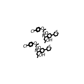 CCCC(=NOCC(C)Oc1ccc(Cl)cc1)C1=C(O)CC(C2CCCSC2)CC1=O.CCCC(=NOCC(C)Oc1ccc(Cl)cc1)C1=C(O)CC(C2CCCSC2)CC1=O